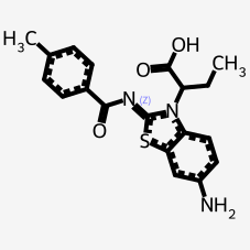 CCC(C(=O)O)n1/c(=N/C(=O)c2ccc(C)cc2)sc2cc(N)ccc21